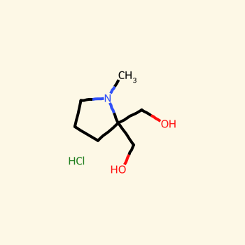 CN1CCCC1(CO)CO.Cl